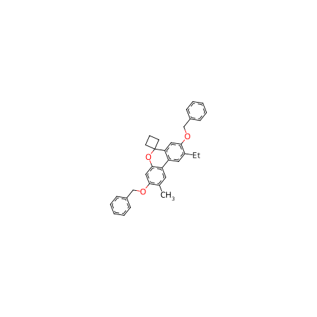 CCc1cc2c(cc1OCc1ccccc1)C1(CCC1)Oc1cc(OCc3ccccc3)c(C)cc1-2